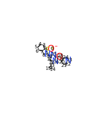 [O-][S+]1c2ccccc2CN1c1cc(C2CC2)nc(Oc2cccnc2)n1